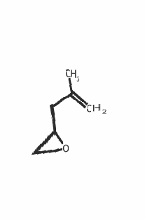 C=C(C)CC1CO1